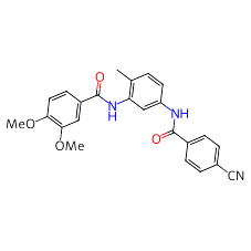 COc1ccc(C(=O)Nc2cc(NC(=O)c3ccc(C#N)cc3)ccc2C)cc1OC